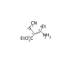 CCOC(=O)C(SC#N)=C(N)CC